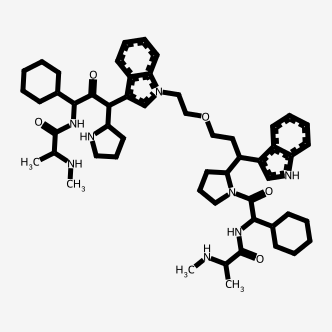 CNC(C)C(=O)NC(C(=O)C(c1cn(CCOCCC(c2c[nH]c3ccccc23)C2CCCN2C(=O)C(NC(=O)C(C)NC)C2CCCCC2)c2ccccc12)C1CCCN1)C1CCCCC1